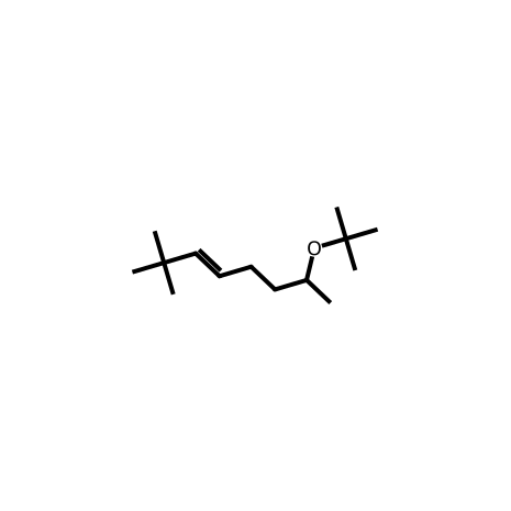 CC(CC/C=C/C(C)(C)C)OC(C)(C)C